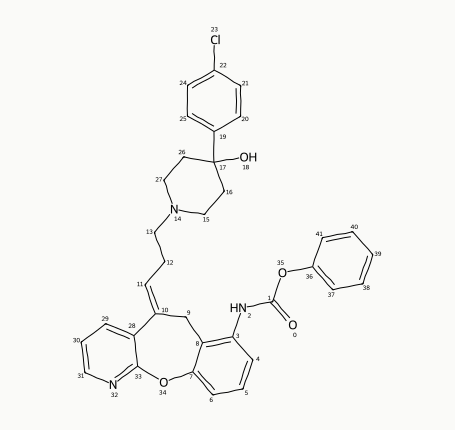 O=C(Nc1cccc2c1CC(=CCCN1CCC(O)(c3ccc(Cl)cc3)CC1)c1cccnc1O2)Oc1ccccc1